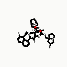 C#Cc1c(F)ccc2cccc(-c3ncc4c(N5CC6CCC(C5)N6C(=O)OC(C)(C)C)nc(OCC56CCCN5CC(F)C6)nc4c3F)c12